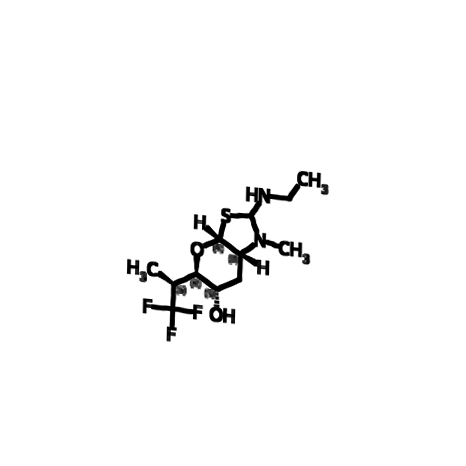 CCNC1S[C@H]2O[C@H]([C@H](C)C(F)(F)F)[C@@H](O)C[C@H]2N1C